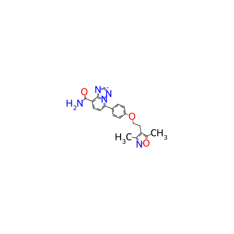 Cc1noc(C)c1CCOc1ccc(-c2ccc(C(N)=O)c3n[c]nn23)cc1